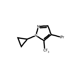 CC(C)c1cnn(C2CC2)c1C(F)(F)F